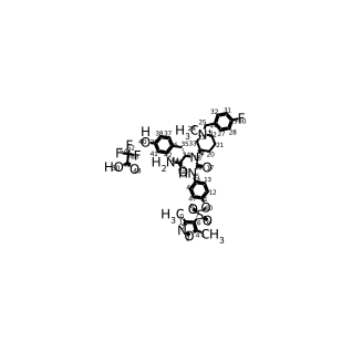 Cc1noc(C)c1S(=O)(=O)Oc1ccc(NC(=O)/[N+](=C2\CCC[N+](C)(Cc3ccc(F)cc3)C2)[C@@H](Cc2ccc(O)cc2)C(N)=O)cc1.O=C(O)C(F)(F)F